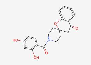 O=C1CC2(CCN(C(=O)c3ccc(O)cc3O)CC2)Oc2ccccc21